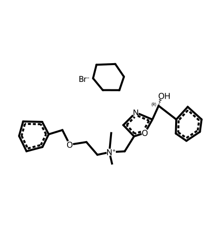 C1CCCCC1.C[N+](C)(CCOCc1ccccc1)Cc1cnc([C@H](O)c2ccccc2)o1.[Br-]